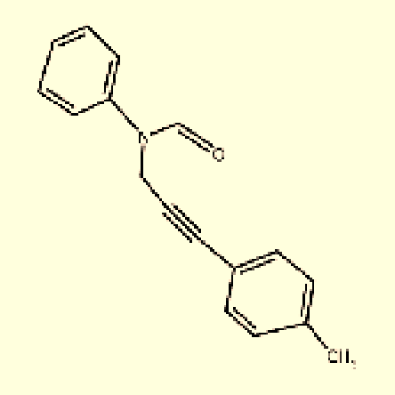 Cc1ccc(C#CCN(C=O)c2ccccc2)cc1